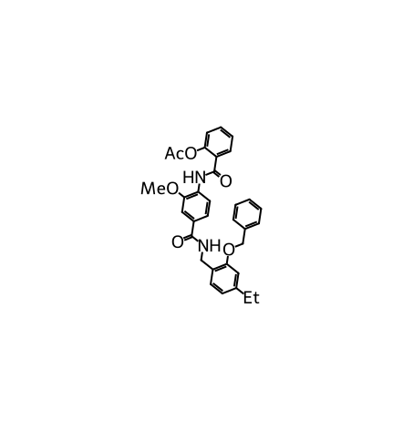 CCc1ccc(CNC(=O)c2ccc(NC(=O)c3ccccc3OC(C)=O)c(OC)c2)c(OCc2ccccc2)c1